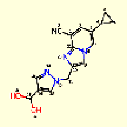 N#Cc1cc(C2CC2)cn2cc(Cn3cc(C(O)O)cn3)nc12